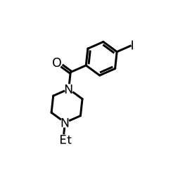 CCN1CCN(C(=O)c2ccc(I)cc2)CC1